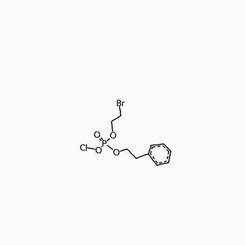 O=P(OCl)(OCCBr)OCCc1ccccc1